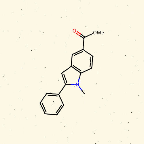 COC(=O)c1ccc2c(c1)cc(-c1ccccc1)n2C